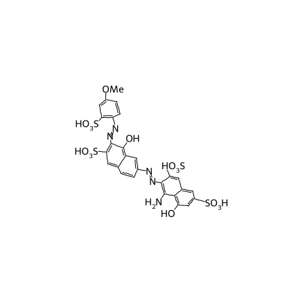 COc1ccc(N=Nc2c(S(=O)(=O)O)cc3ccc(N=Nc4c(S(=O)(=O)O)cc5cc(S(=O)(=O)O)cc(O)c5c4N)cc3c2O)c(S(=O)(=O)O)c1